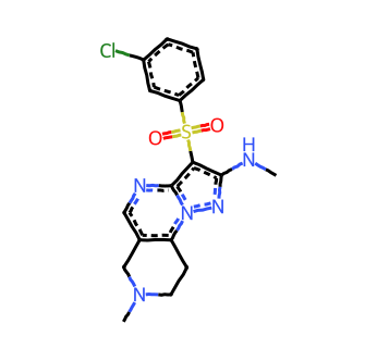 CNc1nn2c3c(cnc2c1S(=O)(=O)c1cccc(Cl)c1)CN(C)CC3